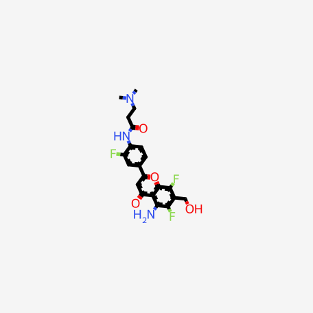 CN(C)CCC(=O)Nc1ccc(-c2cc(=O)c3c(N)c(F)c(CO)c(F)c3o2)cc1F